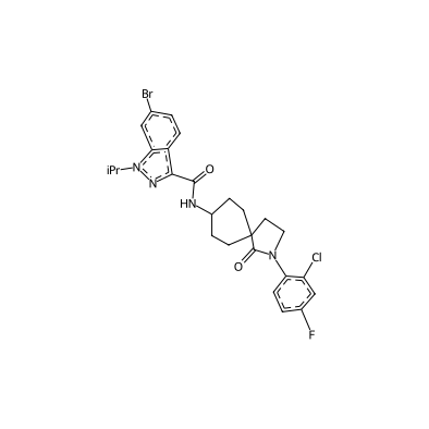 CC(C)n1nc(C(=O)NC2CCC3(CC2)CCN(c2ccc(F)cc2Cl)C3=O)c2ccc(Br)cc21